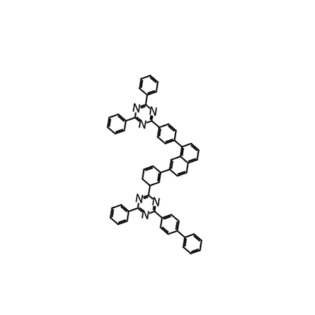 C1=CC(c2ccc3cccc(-c4ccc(-c5nc(-c6ccccc6)nc(-c6ccccc6)n5)cc4)c3c2)=CC(c2nc(-c3ccccc3)nc(-c3ccc(-c4ccccc4)cc3)n2)C1